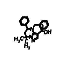 CC1(C)CC(c2ccccc2)N(Cc2ccccc2)c2c(C(=O)O)cnn21